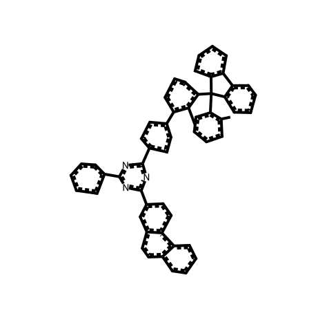 Cc1ccccc1C1(c2cccc(-c3ccc(-c4nc(-c5ccccc5)nc(-c5ccc6c(ccc7ccccc76)c5)n4)cc3)c2C)c2ccccc2-c2ccccc21